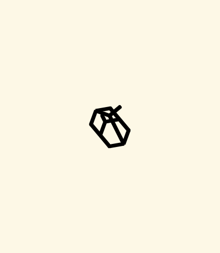 CC1C2CC3CC1CC(C2)C3C